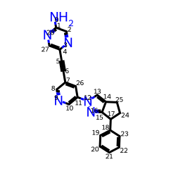 Nc1cnc(C#Cc2cncc(-n3cc4c(n3)C(c3ccccc3)CC4)c2)cn1